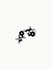 NC(=O)C(CCOc1ccc2nc3n(c(=O)c2c1)CC(=O)N3)N1CCc2ccccc21